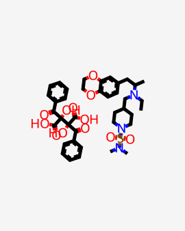 CCN(CC1CCN(S(=O)(=O)N(C)C)CC1)C(C)Cc1ccc2c(c1)OCCO2.O=C(O)C(O)(C(=O)c1ccccc1)C(O)(C(=O)O)C(=O)c1ccccc1